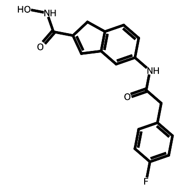 O=C(Cc1ccc(F)cc1)Nc1ccc2c(c1)C=C(C(=O)NO)C2